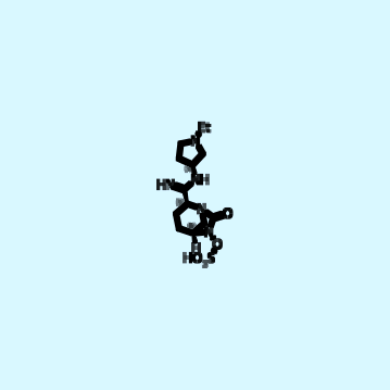 CCN1CC[C@H](NC(=N)[C@@H]2CC[C@@H]3CN2C(=O)N3OS(=O)(=O)O)C1